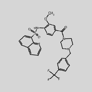 COc1cc(C(=O)N2CCN(Cc3ccc(C(F)(F)F)cc3)CC2)ccc1NS(=O)(=O)c1cccc2cccnc12